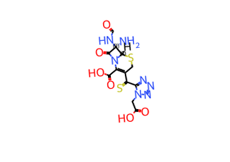 N[C@@]1(NC=O)C(=O)N2C(C(=O)O)=C(C(=S)c3nnnn3CC(=O)O)CS[C@H]21